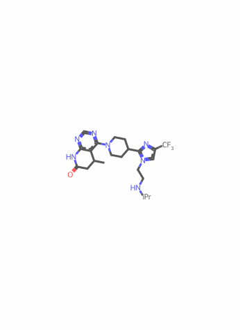 CC(C)NCCn1cc(C(F)(F)F)nc1C1CCN(c2ncnc3c2C(C)CC(=O)N3)CC1